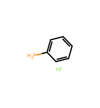 F.Pc1ccccc1